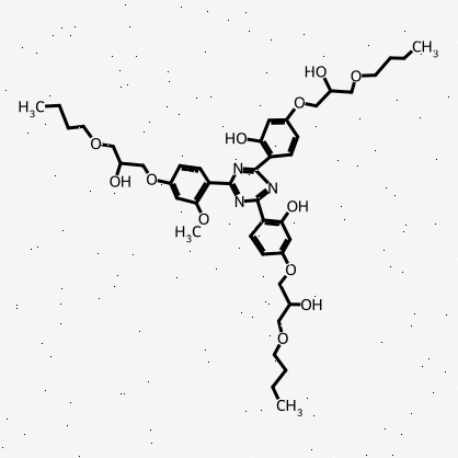 CCCCOCC(O)COc1ccc(-c2nc(-c3ccc(OCC(O)COCCCC)cc3O)nc(-c3ccc(OCC(O)COCCCC)cc3OC)n2)c(O)c1